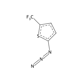 [N-]=[N+]=Nc1ccc(C(F)(F)F)s1